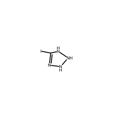 IC1=NNNN1